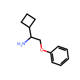 NC(COc1ccccc1)C1CCC1